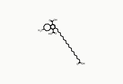 CC1CCCc2c(C(=O)O)cc(CCCCCCCCCCCCCCCCCC(=O)O)c(C(=O)O)c2CC1